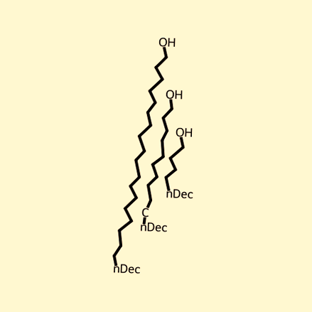 CCCCCCCCCCCCCCCCCCCCCCCCCCCCO.CCCCCCCCCCCCCCCCCCCCO.CCCCCCCCCCCCCCO